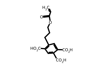 C=CC(=O)OCCCc1cc(C(=O)O)c(C(=O)O)cc1C(=O)O